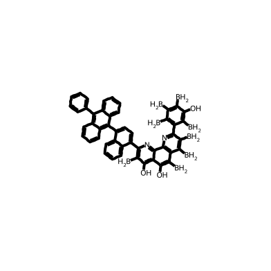 Bc1c(B)c(O)c(B)c(-c2nc3c(c(B)c2B)c(B)c(O)c2c(O)c(B)c(-c4ccc(-c5c6ccccc6c(-c6ccccc6)c6ccccc56)c5ccccc45)nc23)c1B